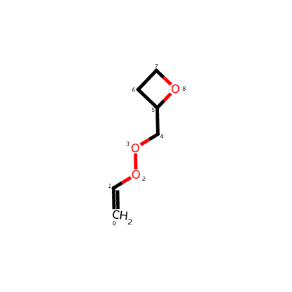 C=COOCC1CCO1